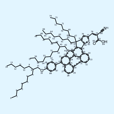 CCCCCCCCC(CCCCCC)COc1ccc(-c2cc3c4c5c2cccc5c2cccc5c6c(c(c4c52)n3CC(CCCCCC)CCCCCCCC)C(CCCCCCCC)(CCCCCCCC)c2cc(C=C(C#N)C(=O)O)sc2-6)cc1